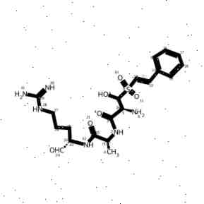 C[C@H](NC(=O)[C@H](N)C(O)S(=O)(=O)/C=C/c1ccccc1)C(=O)N[C@H](C=O)CCCNC(=N)N